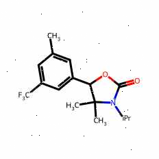 Cc1cc(C2OC(=O)N(C(C)C)C2(C)C)cc(C(F)(F)F)c1